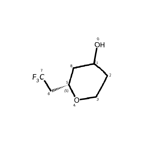 OC1CCO[C@H](CC(F)(F)F)C1